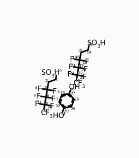 O=S(=O)(O)CCC(F)(F)C(F)(F)C(F)(F)C(F)(F)F.O=S(=O)(O)CCC(F)(F)C(F)(F)C(F)(F)C(F)(F)F.Oc1ccc(O)cc1